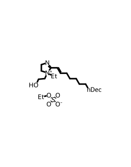 CCCCCCCCCCCCCCCC=CC1=NCC[N+]1(CC)CCO.CCOS(=O)(=O)[O-]